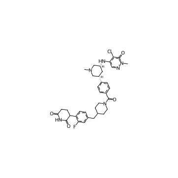 CN1C[C@H](Nc2cnn(C)c(=O)c2Cl)C[C@H](c2ccc(C(=O)N3CCC(Cc4ccc(C5CCC(=O)NC5=O)c(F)c4)CC3)cc2)C1